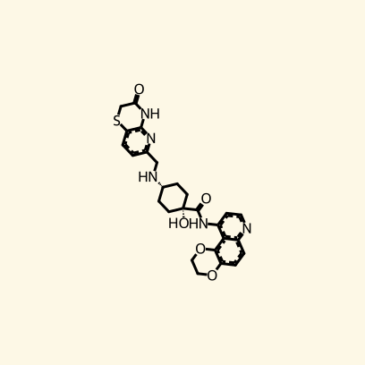 O=C1CSc2ccc(CN[C@H]3CC[C@](O)(C(=O)Nc4ccnc5ccc6c(c45)OCCO6)CC3)nc2N1